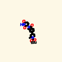 CC1CC(c2ccc3c(c2)CN(C2CCC(=O)NC2=O)C3=O)CCN1C(=O)OC(C)(C)C